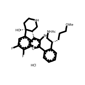 COCCC[C@@H](CNC(C)=O)c1ccccc1-c1onc([C@H]2CNCC[C@]2(O)c2ccc(F)c(F)c2)c1Br.Cl